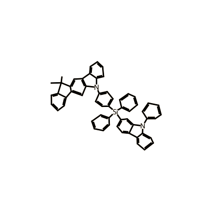 CC1(C)c2ccccc2-c2cc3c(cc21)c1ccccc1n3-c1ccc([Si](c2ccccc2)(c2ccccc2)c2ccc3c4ccccc4n(-c4ccccc4)c3c2)cc1